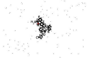 CC1([C@H]2N(C(=O)n3cnc(Cl)n3)C[C@]23CCCN(c2nc(OC[C@@]45CCCN4C[C@H](F)C5)nc4c(F)c(-c5ccc(F)c6sc(N)c(C#N)c56)c(Cl)cc24)C3)CC1